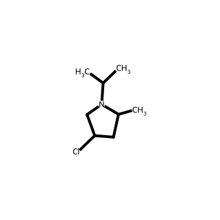 CC(C)N1CC(Cl)CC1C